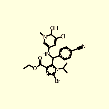 CCOC(=O)c1nc(Br)n(C(C)C)c1C(NC1=CN(C)C(O)C(Cl)=C1)c1ccc(C#N)cc1